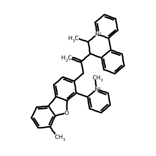 C=C(Cc1ccc2c(oc3c(C)cccc32)c1-c1cccc[n+]1C)C1c2ccccc2-c2cccc[n+]2C1C